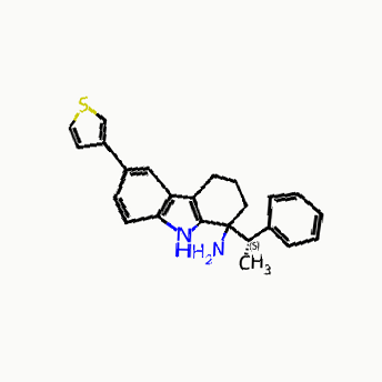 C[C@@H](c1ccccc1)C1(N)CCCc2c1[nH]c1ccc(-c3ccsc3)cc21